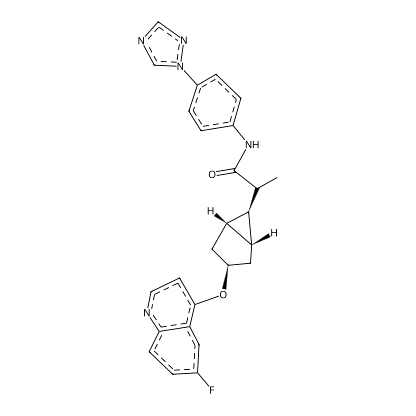 CC(C(=O)Nc1ccc(-n2cncn2)cc1)[C@H]1[C@@H]2C[C@@H](Oc3ccnc4ccc(F)cc34)C[C@@H]21